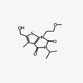 COCCn1c(=O)n(C(C)C)c(=O)c2c(C)c(CO)sc21